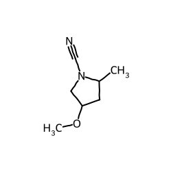 COC1CC(C)N(C#N)C1